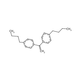 C=C(c1ccc(CCCC)cc1)c1ccc(CCCC)cc1